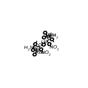 Cc1ccc(C(N)=O)c([C@@H](CO[Si](c2ccccc2)(c2ccccc2)C(C)(C)C)[C@@H](Oc2cccc(O[C@@H](c3ccc([N+](=O)[O-])cc3)[C@H](CO[Si](c3ccccc3)(c3ccccc3)C(C)(C)C)c3cc(C)ccc3C(N)=O)c2I)c2ccc([N+](=O)[O-])cc2)c1